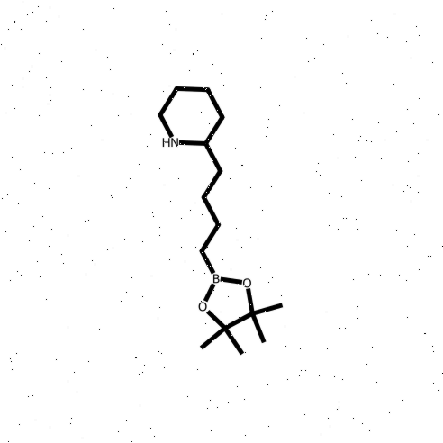 CC1(C)OB(CCCCC2CCCCN2)OC1(C)C